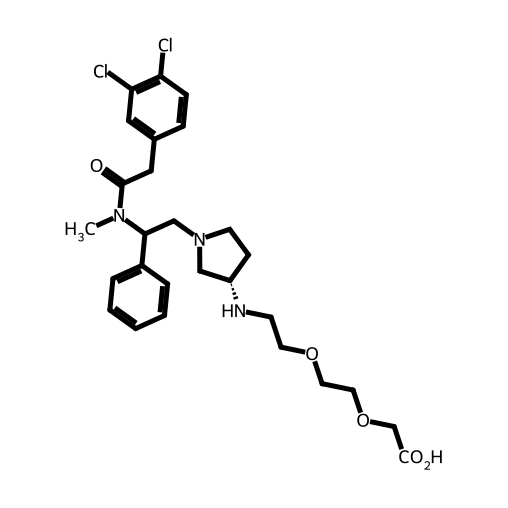 CN(C(=O)Cc1ccc(Cl)c(Cl)c1)C(CN1CC[C@H](NCCOCCOCC(=O)O)C1)c1ccccc1